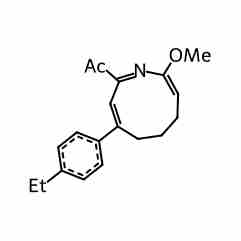 CCc1ccc(/C2=C/C(C(C)=O)=N\C(OC)=C/CCC2)cc1